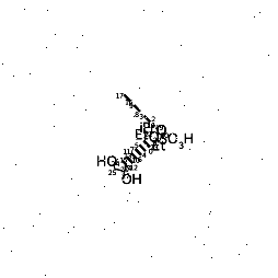 C=C.C=C.C=C.C=C.C=C.C=C.C=C.C=C.C=C.CC(C)OS(=O)(=O)O.CCOCC.OCCO